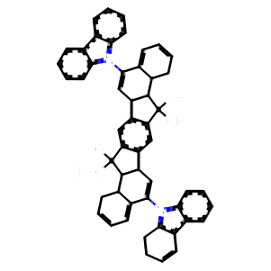 CC1(C)c2cc3c(cc2C2C=C(n4c5c(c6ccccc64)C=CCC5)C4=CC=CCC4C21)C(C)(C)C1C2CC=CC=C2C(n2c4ccccc4c4ccccc42)=CC31